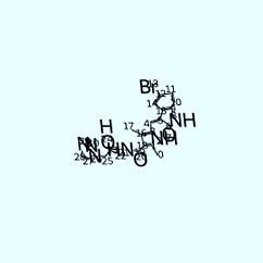 Cc1[nH]c(C=C2C(=O)Nc3ccc(Br)cc32)c(C)c1C(=O)NCC(O)Cn1ccnn1